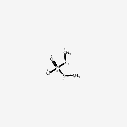 CSP(=O)(Cl)SC